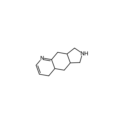 C1=CN=C2CC3CNCC3CC2C1